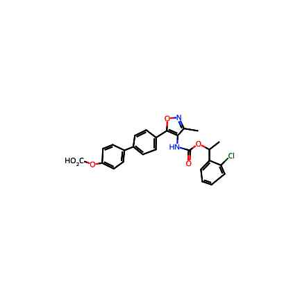 Cc1noc(-c2ccc(-c3ccc(OC(=O)O)cc3)cc2)c1NC(=O)OC(C)c1ccccc1Cl